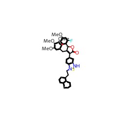 COc1ccc([C]2OC(=O)C(c3ccc4c(c3)NSN4CCc3cccc4ccccc34)=C2Cc2cc(OC)c(OC)c(OC)c2)c(F)c1